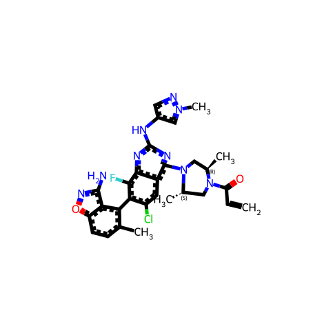 C=CC(=O)N1C[C@H](C)N(c2nc(Nc3cnn(C)c3)nc3c(F)c(-c4c(C)ccc5onc(N)c45)c(Cl)cc23)C[C@H]1C